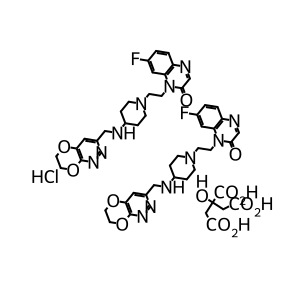 Cl.O=C(O)CC(O)(CC(=O)O)C(=O)O.O=c1cnc2ccc(F)cc2n1CCN1CCC(NCc2cc3c(nn2)OCCO3)CC1.O=c1cnc2ccc(F)cc2n1CCN1CCC(NCc2cc3c(nn2)OCCO3)CC1